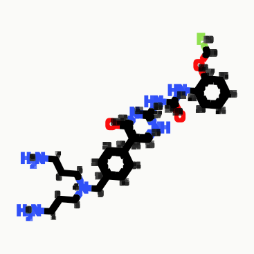 NCCCN(CCCN)Cc1ccc(-c2c[nH]c(NC(=O)Nc3ccccc3OCF)nc2=O)cc1